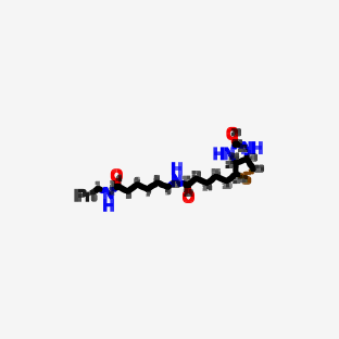 CC(C)CNC(=O)CCCCCNC(=O)CCCCC1SCC2NC(=O)NC21